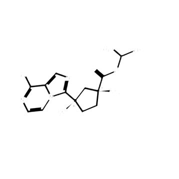 CC(C)OC(=O)[C@]1(C)CC[C@](C)(c2ncc3c(Cl)nccn23)C1